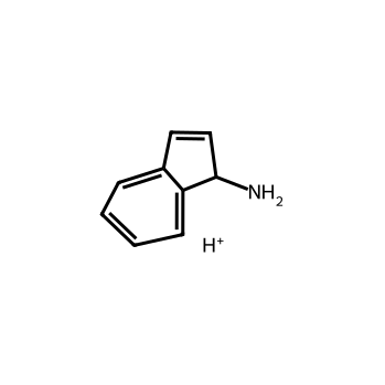 NC1C=Cc2ccccc21.[H+]